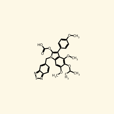 COc1ccc(-c2c(OC(=O)O)n(Cc3ccc4nsnc4c3)c3cc(OC)c(OC(C)C)c(OC)c23)cc1